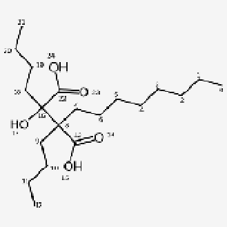 CCCCCCCCC(CCCC)(C(=O)O)C(O)(CCCC)C(=O)O